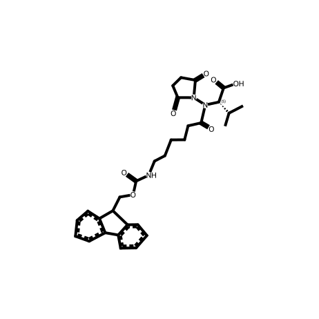 CC(C)[C@@H](C(=O)O)N(C(=O)CCCCCNC(=O)OCC1c2ccccc2-c2ccccc21)N1C(=O)CCC1=O